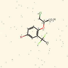 CCC(F)(F)c1cc(Br)ccc1O[C@@H](CCl)C(=O)O